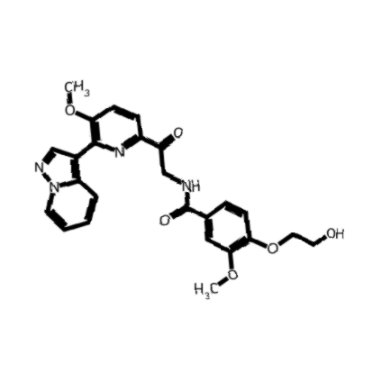 COc1cc(C(=O)NCC(=O)c2ccc(OC)c(-c3cnn4ccccc34)n2)ccc1OCCO